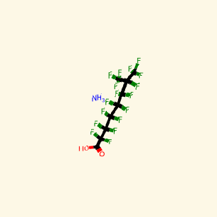 N.O=C(O)C(F)(F)C(F)(F)C(F)(F)C(F)(F)C(F)(F)C(F)(C(F)(F)F)C(F)(F)F